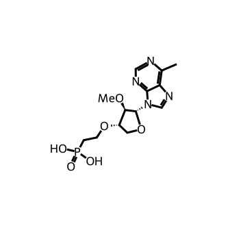 CO[C@@H]1[C@@H](OCCP(=O)(O)O)CO[C@H]1n1cnc2c(C)ncnc21